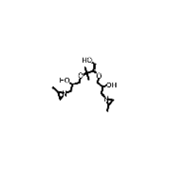 CC1CN1CC(O)COC(CO)C(C)(C)OCC(O)CN1CC1C